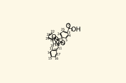 O=C(O)c1ccc(S(=O)(=O)N(Cc2ccccc2)Cc2ccco2)cc1